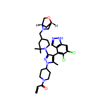 C=CC(=O)N1CCC(n2nc(N3CCC(CN4C[C@@H]5C[C@H]4CO5)CC3(C)C)c(-c3c(Cl)c(Cl)cc4[nH]ncc34)c2C)CC1